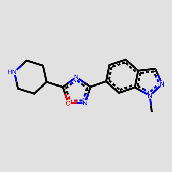 Cn1ncc2ccc(-c3noc(C4CCNCC4)n3)cc21